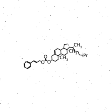 CC(C)CCC[C@@H](C)[C@H]1CCC2C3CC=C4CC(OC(=O)OCC=Cc5ccccc5)CC[C@]4(C)C3CC[C@@]21C